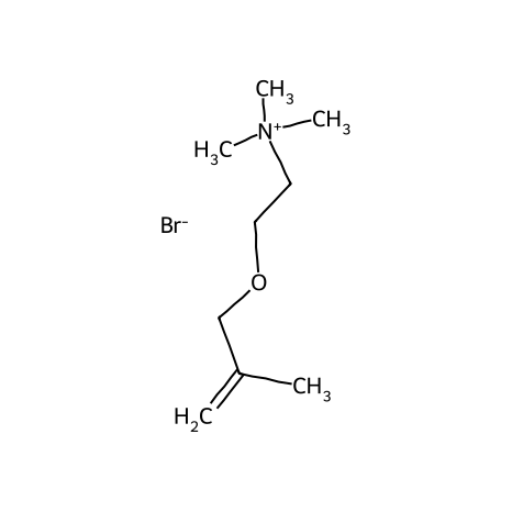 C=C(C)COCC[N+](C)(C)C.[Br-]